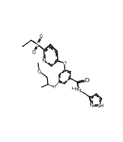 CCS(=O)(=O)c1ccc(Oc2cc(OC(C)COC)cc(C(=O)Nc3cc[nH]n3)c2)cn1